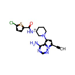 C#Cc1cc(N2CCC[C@@H](NC(=O)c3ccc(Cl)s3)C2)c2c(N)ncnn12